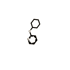 [c]1cccnc1OC1CCCCC1